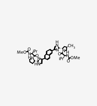 COC(=O)N[C@H](C(=O)N1CCC[C@H]1c1nc(-c2ccc3cc(-c4c[nH]c([C@@H]5C[C@H](C)CN5C(=O)[C@@H](NC(=O)OC)C(C)C)n4)ccc3c2)c[nH]1)C(C)C